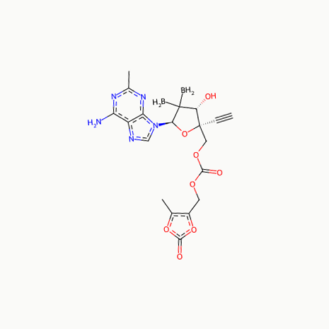 BC1(B)[C@H](n2cnc3c(N)nc(C)nc32)O[C@](C#C)(COC(=O)OCc2oc(=O)oc2C)[C@H]1O